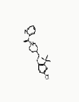 C=C(c1ccccn1)N1CCC(CCc2ccc(Cl)cc2C(C)(C)C)CC1